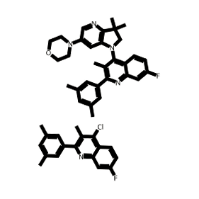 Cc1cc(C)cc(-c2nc3cc(F)ccc3c(Cl)c2C)c1.Cc1cc(C)cc(-c2nc3cc(F)ccc3c(N3CC(C)(C)c4ncc(N5CCOCC5)cc43)c2C)c1